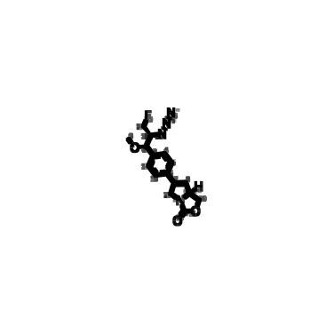 CO[C@H](c1ccc(C2=C[C@@H]3COC(=O)N3C2)cc1)[C@@H](CF)N=[N+]=[N-]